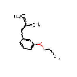 CCCOc1cccc(CC(C)C)c1